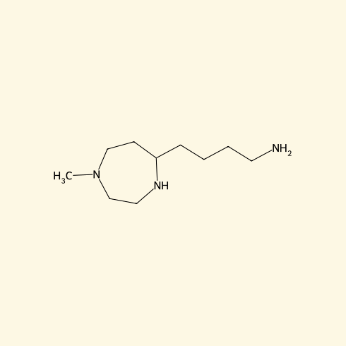 CN1CCNC(CCCCN)CC1